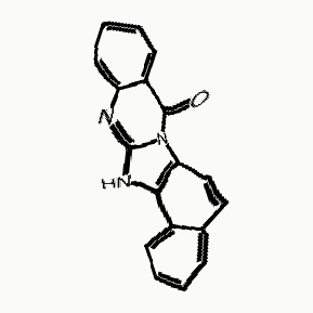 O=c1c2ccccc2nc2[nH]c3c4ccccc4ccc3n12